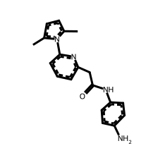 Cc1ccc(C)n1-c1cccc(CC(=O)Nc2ccc(N)cc2)n1